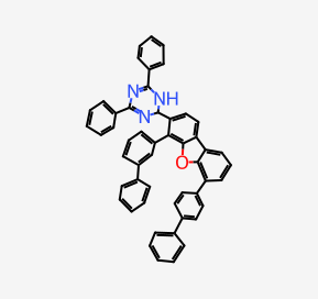 c1ccc(C2=NC(c3ccc4c(oc5c(-c6ccc(-c7ccccc7)cc6)cccc54)c3-c3cccc(-c4ccccc4)c3)NC(c3ccccc3)=N2)cc1